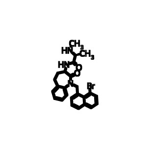 CN[C@@H](C)C(=O)NC1CCc2ccccc2N(Cc2cccc3cccc(Br)c23)C1=O